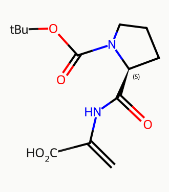 C=C(NC(=O)[C@@H]1CCCN1C(=O)OC(C)(C)C)C(=O)O